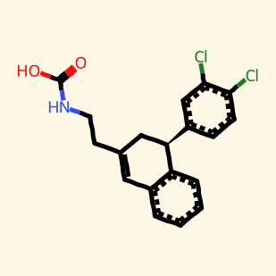 O=C(O)NCCC1=Cc2ccccc2[C@H](c2ccc(Cl)c(Cl)c2)C1